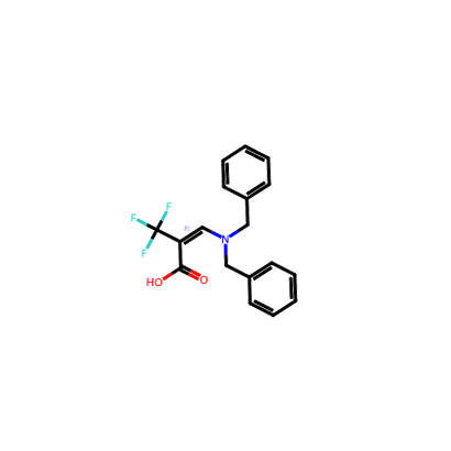 O=C(O)/C(=C\N(Cc1ccccc1)Cc1ccccc1)C(F)(F)F